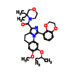 COc1cc2c(cc1OC(C)C)-n1c(-c3cccc4c3OCCO4)nc(C(=O)N3CCOCC3(C)C)c1CC2